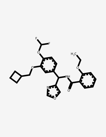 CCOc1ccccc1C(=O)NC(c1ccc(OC(F)F)c(OCC2CCC2)c1)c1cocn1